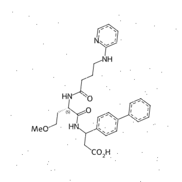 COCC[C@H](NC(=O)CCCNc1ccccn1)C(=O)NC(CC(=O)O)c1ccc(-c2ccccc2)cc1